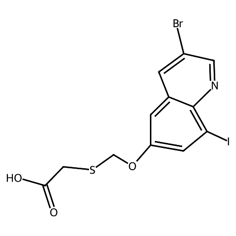 O=C(O)CSCOc1cc(I)c2ncc(Br)cc2c1